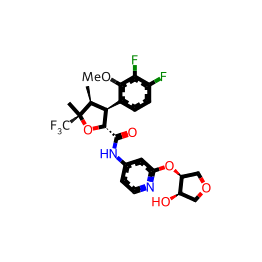 COc1c([C@H]2[C@H](C(=O)Nc3ccnc(O[C@H]4COC[C@H]4O)c3)O[C@@](C)(C(F)(F)F)[C@H]2C)ccc(F)c1F